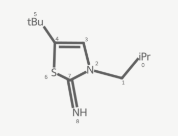 CC(C)Cn1cc(C(C)(C)C)sc1=N